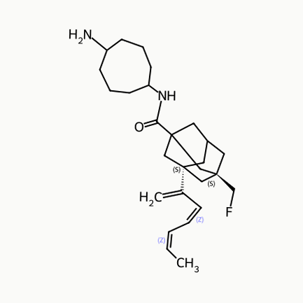 C=C(/C=C\C=C/C)[C@]12CC3CC(C(=O)NC4CCCC(N)CCC4)(C[C@](CF)(C3)C1)C2